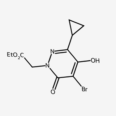 CCOC(=O)Cn1nc(C2CC2)c(O)c(Br)c1=O